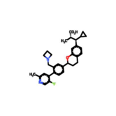 Cc1cc(-c2ccc(C3CCc4ccc([C@H](C5CC5)[C@H](C)C(=O)O)cc4O3)cc2CN2CCC2)c(F)cn1